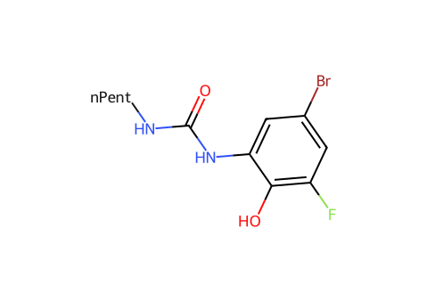 CCCCCNC(=O)Nc1cc(Br)cc(F)c1O